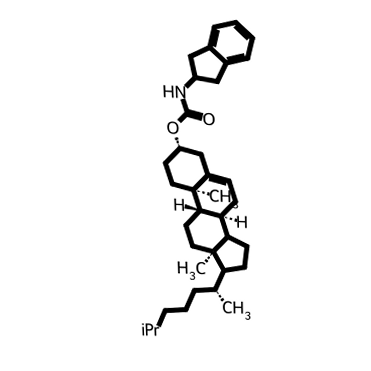 CC(C)CCC[C@@H](C)C1CCC2[C@@H]3CC=C4C[C@@H](OC(=O)NC5Cc6ccccc6C5)CC[C@]4(C)[C@H]3CC[C@]12C